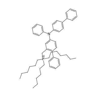 CCCCCCC[PH](CCCCCC)(CCCCCC)Cc1cc(N(c2ccccc2)c2ccc(-c3ccccc3)cc2)ccc1-c1ccccc1